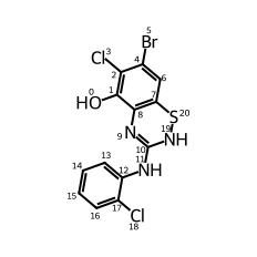 Oc1c(Cl)c(Br)cc2c1N=C(Nc1ccccc1Cl)NS2